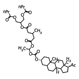 CCCC(=O)OCC(COC(=O)CCC)OC(=O)CC(C)CC(=O)OC(C)OC(=O)O[C@@H]1CC[C@@]2(C)C(CC[C@@H]3C2CC[C@@]2(C)C3CC[C@@H]2C(C)=O)C1